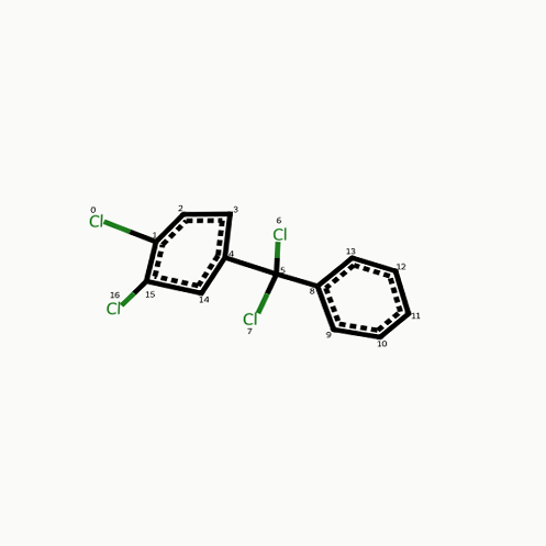 Clc1ccc(C(Cl)(Cl)c2ccccc2)cc1Cl